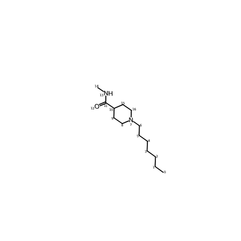 CCCCCCCN1CCC(C(=O)NC)CC1